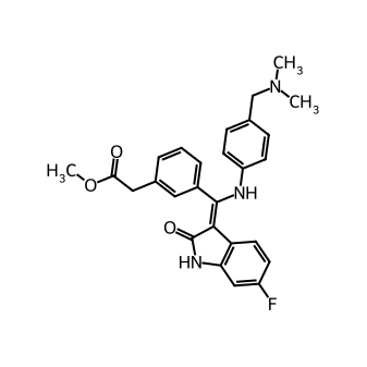 COC(=O)Cc1cccc(C(Nc2ccc(CN(C)C)cc2)=C2C(=O)Nc3cc(F)ccc32)c1